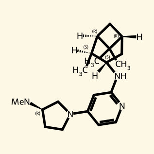 CN[C@@H]1CCN(c2ccnc(N[C@H]3C[C@H]4C[C@H]([C@@H]3C)C4(C)C)c2)C1